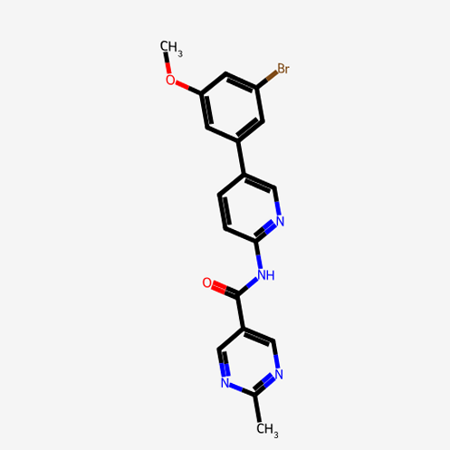 COc1cc(Br)cc(-c2ccc(NC(=O)c3cnc(C)nc3)nc2)c1